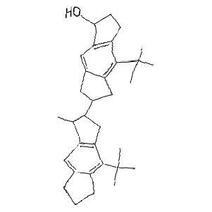 CC1c2cc3c(c(C(C)(C)C)c2CC1C1Cc2cc4c(c(C(C)(C)C)c2C1)CCC4O)CCC3